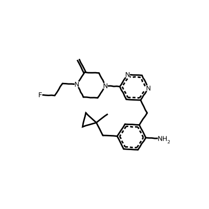 C=C1CN(c2cc(Cc3cc(CC4(C)CC4)ccc3N)ncn2)CCN1CCF